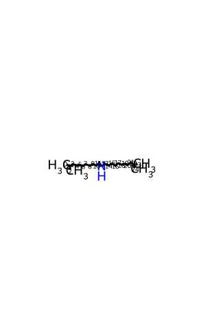 CC(C)CCCCCCCCCNCCCCCCCCCC(C)C